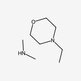 CCN1CCOCC1.CNC